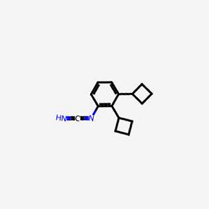 N=C=Nc1cccc(C2CCC2)c1C1CCC1